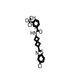 CP(C)(=O)c1cccc(C(=O)NC2CC3(C2)CC(c2nc4cc(Cl)ccc4s2)C3)c1